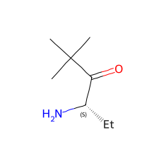 CC[C@H](N)C(=O)C(C)(C)C